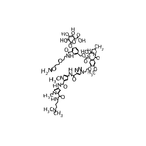 C=C1C[C@H]2C(O)N(C(=O)OCc3ccc(O[C@@H]4O[C@H](C(=O)O)[C@@H](O)[C@H](O)[C@H]4O)c(C(=O)NCCOCCON)c3)c3cc(OCCn4cc(C(=O)Nc5cc(C(=O)Nc6cc(C(=O)NCCCN(C)C)n(C)c6)n(C)c5)nn4)c(OC)cc3C(=O)N2C1